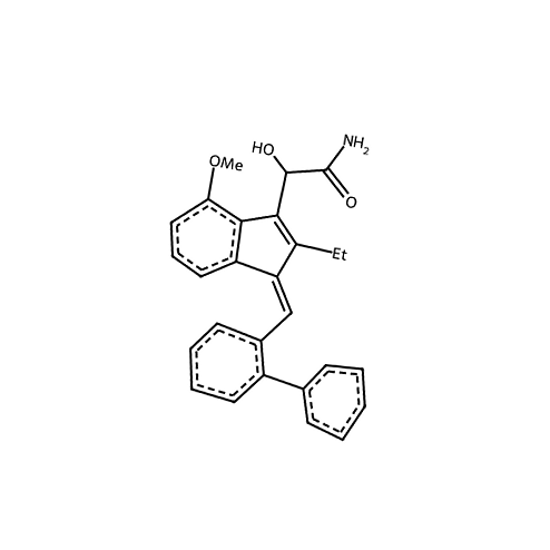 CCC1=C(C(O)C(N)=O)c2c(OC)cccc2/C1=C\c1ccccc1-c1ccccc1